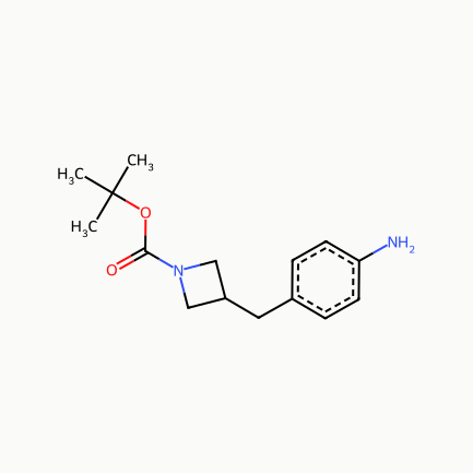 CC(C)(C)OC(=O)N1CC(Cc2ccc(N)cc2)C1